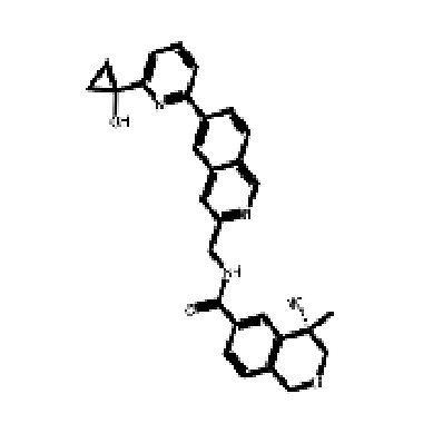 C[C@@]1(C#N)COCc2ccc(C(=O)NCc3cc4cc(-c5cccc(C6(O)CC6)n5)ccc4cn3)cc21